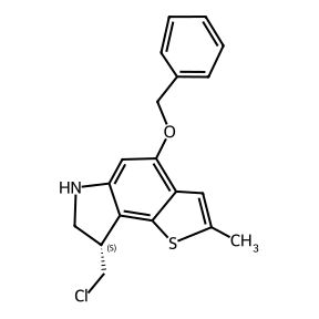 Cc1cc2c(OCc3ccccc3)cc3c(c2s1)[C@H](CCl)CN3